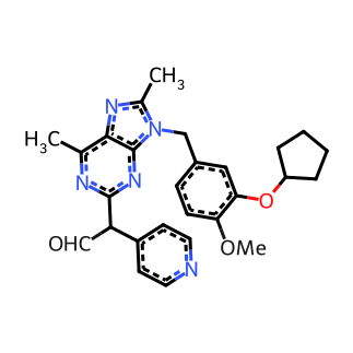 COc1ccc(Cn2c(C)nc3c(C)nc(C(C=O)c4ccncc4)nc32)cc1OC1CCCC1